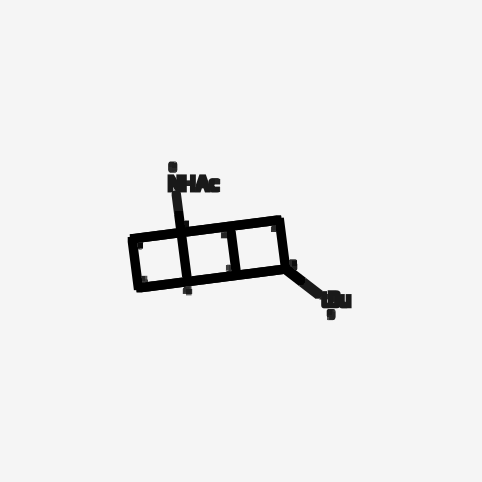 CC(=O)NC12C3C4C1C1C2C3C41C(C)(C)C